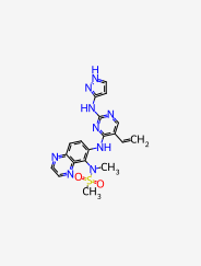 C=Cc1cnc(Nc2cc[nH]n2)nc1Nc1ccc2nccnc2c1N(C)S(C)(=O)=O